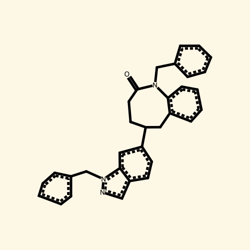 O=C1CCC(c2ccc3cnn(Cc4ccccc4)c3c2)Cc2ccccc2N1Cc1ccccc1